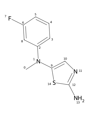 CN(c1cccc(F)c1)c1cnc(N)s1